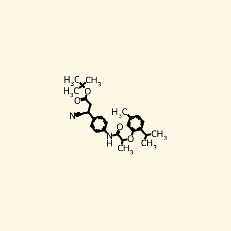 Cc1ccc(C(C)C)c(OC(C)C(=O)Nc2ccc(C(C#N)CC(=O)OC(C)(C)C)cc2)c1